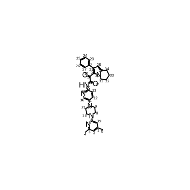 Cc1cc(C)nc(N2CCN(c3ccc(NC(=O)C(=O)c4c(-c5ccccc5)cc5n4CCCC5)nc3)CC2)c1